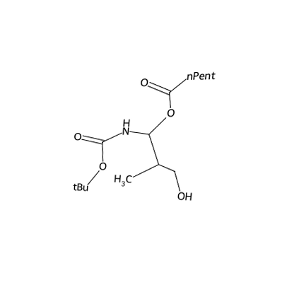 CCCCCC(=O)OC(NC(=O)OC(C)(C)C)C(C)CO